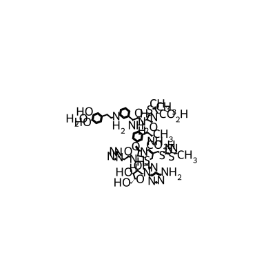 CC1(C)S[C@@H]2[C@H](NC(=O)[C@H](N)c3ccccc3)C(=O)N2[C@H]1C(=O)O.C[C@H](N)Cc1ccccc1.Cc1nnc(SCC2=C(C(=O)O)N3C(=O)[C@@H](NC(=O)Cn4cnnn4)[C@H]3SC2)s1.NCCc1ccc(O)c(O)c1.Nc1ncnc2c1ncn2[C@@H]1O[C@H](CO)[C@@H](O)[C@@H]1O.O